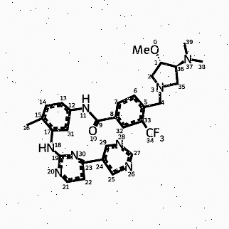 CO[C@H]1CN(Cc2ccc(C(=O)Nc3ccc(C)c(Nc4nccc(-c5cncnc5)n4)c3)cc2C(F)(F)F)C[C@@H]1N(C)C